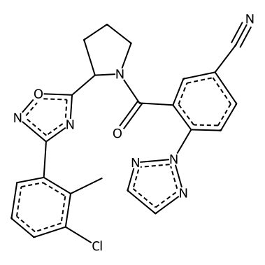 Cc1c(Cl)cccc1-c1noc(C2CCCN2C(=O)c2cc(C#N)ccc2-n2nccn2)n1